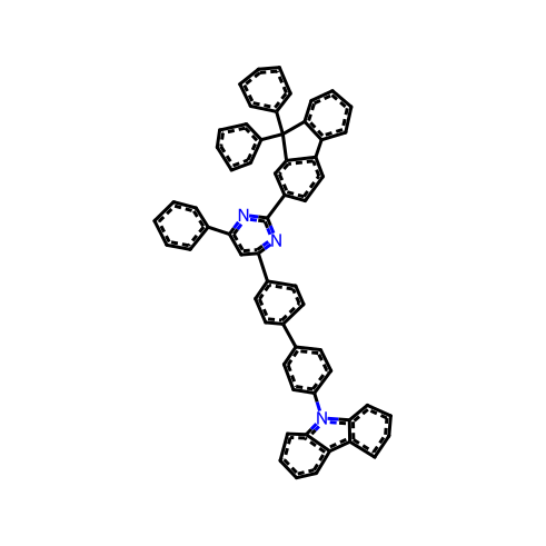 c1ccc(-c2cc(-c3ccc(-c4ccc(-n5c6ccccc6c6ccccc65)cc4)cc3)nc(-c3ccc4c(c3)C(c3ccccc3)(c3ccccc3)c3ccccc3-4)n2)cc1